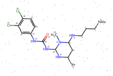 CNCCCNC1CC(C(C)C)NC(NC(=O)Nc2ccc(Cl)c(Cl)c2)N1C